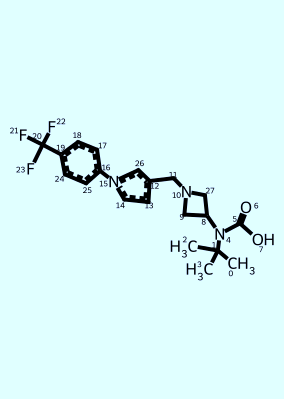 CC(C)(C)N(C(=O)O)C1CN(Cc2ccn(-c3ccc(C(F)(F)F)cc3)c2)C1